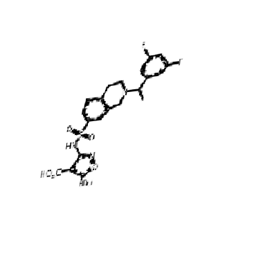 CC(c1cc(F)cc(F)c1)N1CCc2ccc(S(=O)(=O)Nc3noc(C(C)(C)C)c3C(=O)O)cc2C1